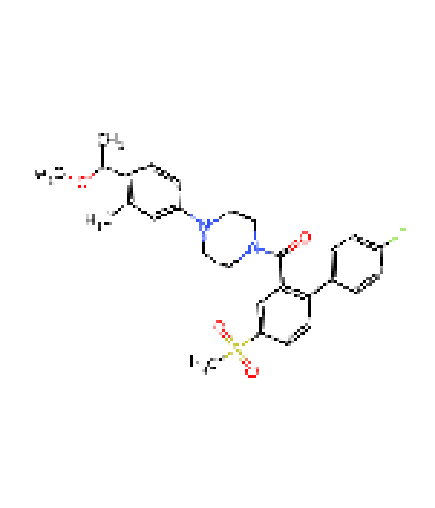 COC(C)c1ccc(N2CCN(C(=O)c3cc(S(C)(=O)=O)ccc3-c3ccc(F)cc3)CC2)cc1C